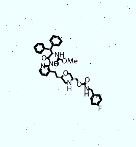 COC(=O)N[C@H](C(=O)Nc1ncccc1CC[C@@H]1CN[C@H](COC(=O)NCc2ccc(F)cc2)CO1)C(c1ccccc1)c1ccccc1